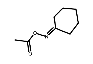 CC(=O)ON=C1CCCCC1